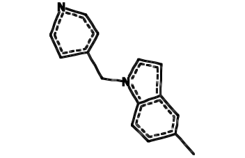 Cc1ccc2c(ccn2Cc2ccncc2)c1